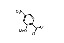 COc1cc([N+](=O)[O-])ccc1[S+]([O-])Cl